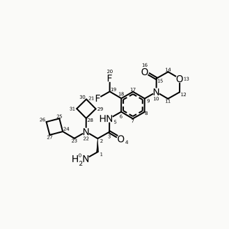 NC[C@H](C(=O)Nc1ccc(N2CCOCC2=O)cc1C(F)F)N(CC1CCC1)C1CCC1